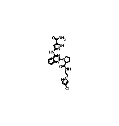 NC(=O)c1cc(Nc2nc(N3CCCC3C(=O)NCCn3cc(Cl)cn3)nc3cccn23)n[nH]1